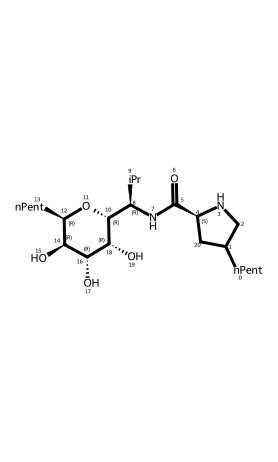 CCCCCC1CN[C@H](C(=O)N[C@H](C(C)C)[C@H]2O[C@H](CCCCC)[C@H](O)[C@@H](O)[C@H]2O)C1